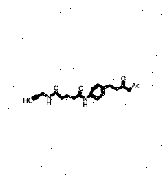 C#CCNC(=O)CCCC(=O)Nc1ccc(CCC(=O)CC(C)=O)cc1